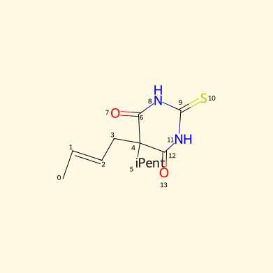 CC=CCC1(C(C)CCC)C(=O)NC(=S)NC1=O